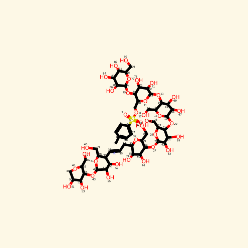 Cc1ccc(S(=O)(=O)OCC2OC(OC3C(CO)OC(OC4C(CO)OC(OC5C(CO)OC(C/C=C/C6C(CO)OC(OC7C(CO)OCC(O)C7O)C(O)C6O)C(O)C5O)C(O)C4O)C(O)C3O)C(O)C(O)C2OC2OC(CO)C(O)C(O)C2O)cc1